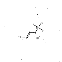 C[N+](C)(C)CC=CF.I